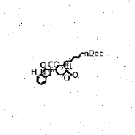 CCCCCCCCCCCCCCCCCC(C[C@@H]1OC(=O)[C@H]1CC)[C@@](Cc1ccccc1)(C(N)=O)C(=O)O